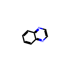 [c]1[c]nc2ccc[c]c2n1